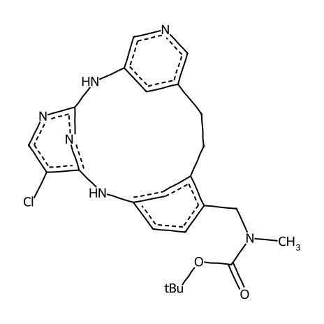 CN(Cc1ccc2cc1CCc1cncc(c1)Nc1ncc(Cl)c(n1)N2)C(=O)OC(C)(C)C